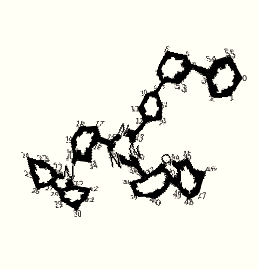 c1ccc(-c2cccc(-c3ccc(-c4nc(-c5cccc(-n6c7ccccc7c7ccccc76)c5)nc(-c5cccc6c5oc5ccccc56)n4)cc3)c2)cc1